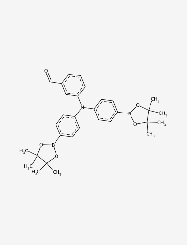 CC1(C)OB(c2ccc(N(c3ccc(B4OC(C)(C)C(C)(C)O4)cc3)c3cccc(C=O)c3)cc2)OC1(C)C